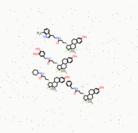 C[C@]12CCC3c4ccc(O)cc4CCC3C1[C@@H](CCCC(=O)NC1CCCCC1)CC2(F)F.C[C@]12CCC3c4ccc(O)cc4CCC3C1[C@@H](CCCC(=O)NCc1ccc(O)c(O)c1)CC2(F)F.C[C@]12CCC3c4ccc(O)cc4CCC3C1[C@@H](CCCC(=O)NCc1ccccc1)CC2(F)F.Cc1cccc2c(CCNC(=O)CCC[C@H]3CC(F)(F)[C@@]4(C)CCC5c6ccc(O)cc6CCC5C34)c[nH]c12